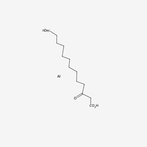 CCCCCCCCCCCCCCCCCCCC(=O)CC(=O)O.[Al]